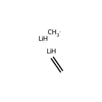 C=C.[CH3].[LiH].[LiH]